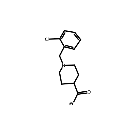 CC(C)C(=O)C1CCN(Cc2ccccc2Cl)CC1